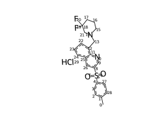 Cc1ccc(S(=O)(=O)c2cnc3c(CN4CCCC(F)(F)C4)cccc3c2)cc1.Cl